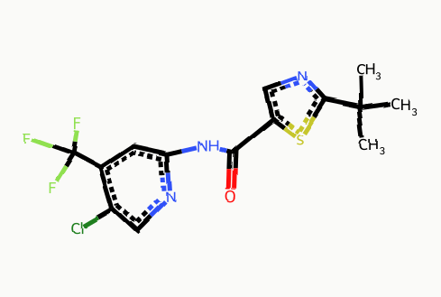 CC(C)(C)c1ncc(C(=O)Nc2cc(C(F)(F)F)c(Cl)cn2)s1